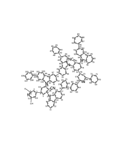 Cc1cc(-c2cc(-n3c4ccccc4c4ccc(-c5ccccc5)cc43)c(C#N)c(-n3c4ccc(-c5ccc6c(c5)c5cc(-c7ccccc7)ccc5n6-c5cc(-c6cc(-c7ccccc7)nc(-c7ccccc7)c6)cc(-n6c7ccccc7c7cc(-c8ccccc8)ccc76)c5C#N)cc4c4ccc(-c5ccccc5)cc43)c2)cc(C)n1